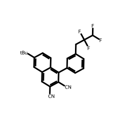 CC(C)(C)c1ccc2c(-c3cccc(CC(F)(F)C(F)F)c3)c(C#N)c(C#N)cc2c1